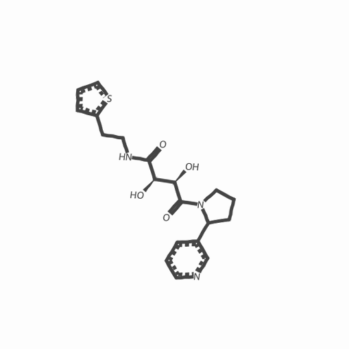 O=C(NCCc1cccs1)[C@H](O)[C@@H](O)C(=O)N1CCCC1c1cccnc1